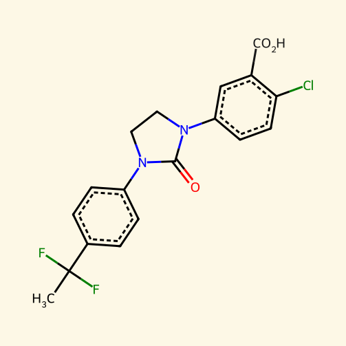 CC(F)(F)c1ccc(N2CCN(c3ccc(Cl)c(C(=O)O)c3)C2=O)cc1